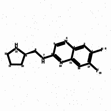 Fc1cc2ncc(NC[C@H]3CCCN3)nc2cc1F